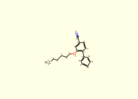 CCCCCCOc1cc(C#N)ccc1-c1ccccc1